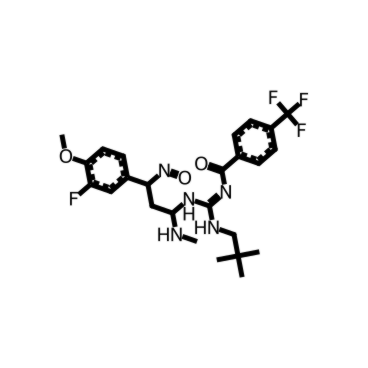 CNC(CC(N=O)c1ccc(OC)c(F)c1)N/C(=N\C(=O)c1ccc(C(F)(F)F)cc1)NCC(C)(C)C